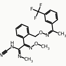 C/N=C(NC#N)\C(=N\OC)c1ccccc1CO/N=C(/C)c1cccc(C(F)(F)F)c1